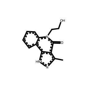 Cc1n[nH]c2c1c(=O)n(CCO)c1ccccc21